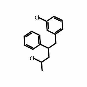 [CH2]C(Cl)CC(Cc1cccc(Cl)c1)c1ccccc1